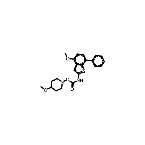 COc1ccc(-c2ccccc2)c2sc(NC(=O)ON3CCC(OC)CC3)cc12